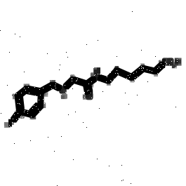 O=C(O)CCCCCNC(=O)COCc1ccc(F)cc1